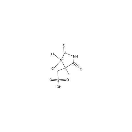 CC1(CS(=O)(=O)O)C(=O)NC(=O)[N+]1(Cl)Cl